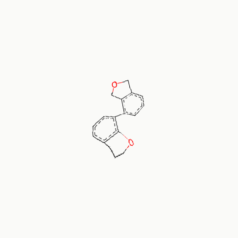 c1cc2c(c(-c3cccc4c3OCC4)c1)COC2